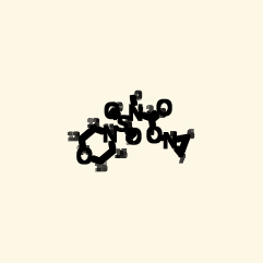 CN(C(=O)ON1CC1)S(=O)(=O)N1CCOCC1